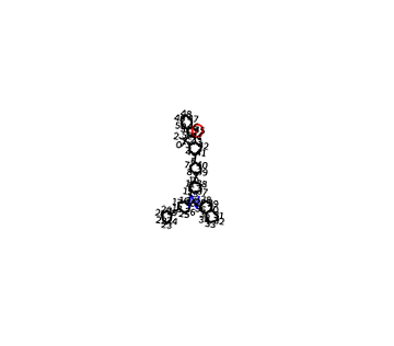 CC1(C)c2cc(-c3ccc(-c4ccc(N(c5ccc(-c6ccccc6)cc5)c5ccc6ccccc6c5)cc4)cc3)ccc2-c2oc3ccccc3c21